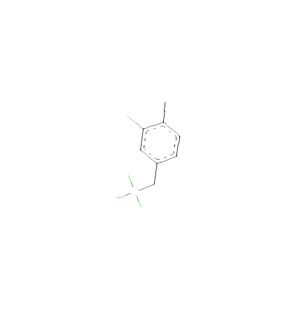 Cc1ccc(C[Si](Cl)(Cl)Cl)cc1Cl